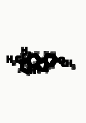 C=C1CC[C@H]2c3ccc4cc(OC)ccc4c3CC[C@]12C